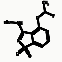 CCCCNC1=NS(=O)(=O)c2cccc(OC(C)F)c21